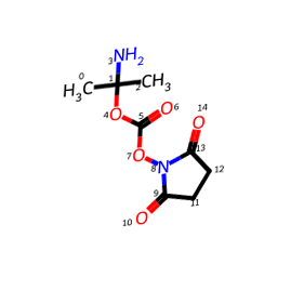 CC(C)(N)OC(=O)ON1C(=O)CCC1=O